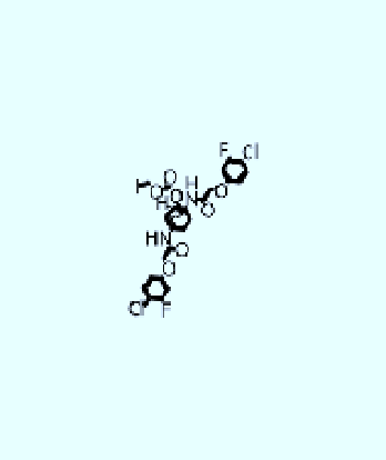 O=C(COc1ccc(Cl)c(F)c1)NC12CCC(NC(=O)COc3ccc(Cl)c(F)c3)(CC1)[C@H](OC(=O)OCI)C2